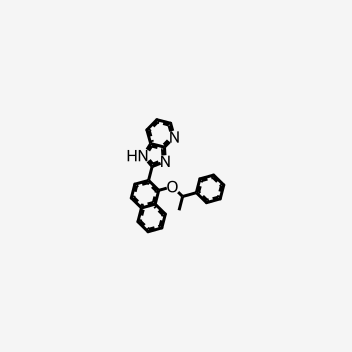 CC(Oc1c(-c2nc3ncccc3[nH]2)ccc2ccccc12)c1ccccc1